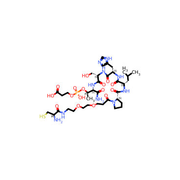 CC(C)C[C@H](NC(=O)[C@@H]1CCCN1C(=O)CCOCCOCCNC(=O)[C@@H](N)CS)C(=O)N[C@@H](Cc1cnc[nH]1)C(=O)N[C@@H](CO)C(=O)N[C@H](C(N)=O)[C@@H](C)OP(=O)(O)OCCC(=O)O